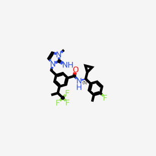 Cc1cc([C@@H](NC(=O)c2cc(Cn3ccn(C)c3=N)cc(C(C)C(F)(F)F)c2)C2CC2)ccc1F